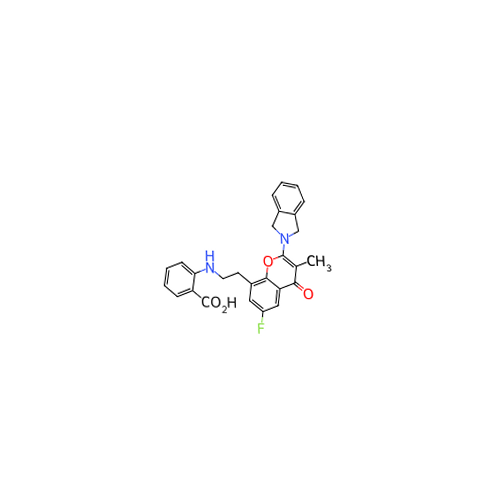 Cc1c(N2Cc3ccccc3C2)oc2c(CCNc3ccccc3C(=O)O)cc(F)cc2c1=O